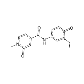 CCn1cc(NC(=O)c2ccn(C)c(=O)c2)ccc1=O